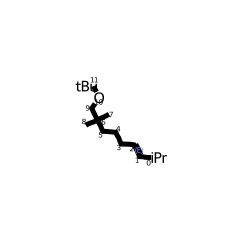 CC(C)/C=C/CCCC(C)(C)COC(C)(C)C